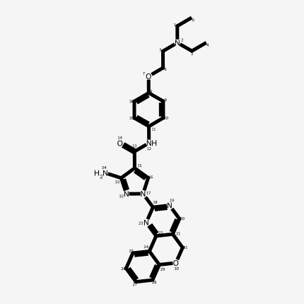 CCN(CC)CCOc1ccc(NC(=O)c2cn(-c3ncc4c(n3)-c3ccccc3OC4)nc2N)cc1